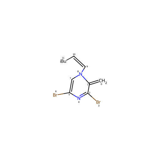 C=C1C(Br)=NC(Br)=CN1/C=C\C(C)CC